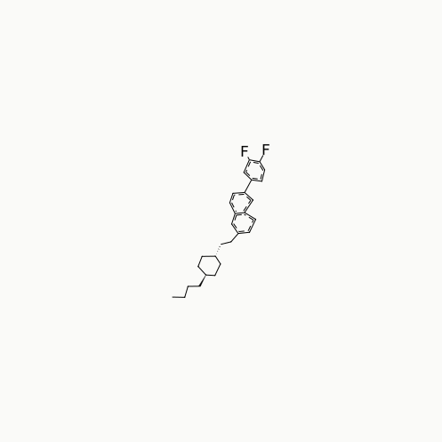 CCCC[C@H]1CC[C@H](CCc2ccc3cc(-c4ccc(F)c(F)c4)ccc3c2)CC1